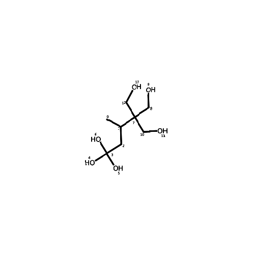 CC(CC(O)(O)O)C(CO)(CO)CO